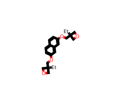 CCC1(COc2ccc3ccc(OCC4(CC)COC4)cc3c2)COC1